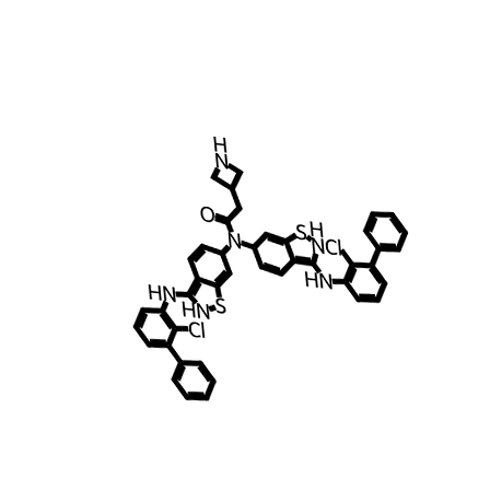 O=C(CC1CNC1)N(C1C=CC2=C(Nc3cccc(-c4ccccc4)c3Cl)NSC2=C1)C1C=CC2=C(Nc3cccc(-c4ccccc4)c3Cl)NSC2=C1